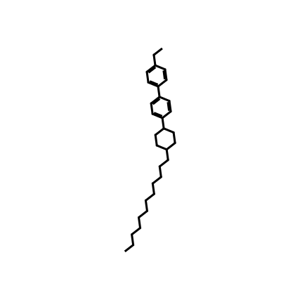 CCCCCCCCCCCCC1CCC(c2ccc(-c3ccc(CC)cc3)cc2)CC1